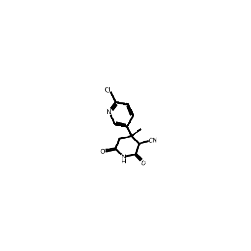 CC1(c2ccc(Cl)nc2)CC(=O)NC(=O)C1C#N